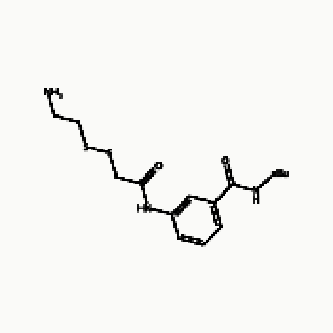 CCCCNC(=O)c1cccc(NC(=O)CSSCCN)c1